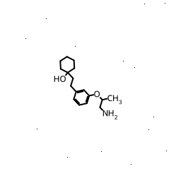 CC(CN)Oc1cccc(CCC2(O)CCCCC2)c1